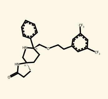 O=C1CC[C@]2(CC[C@@](COCCc3cc(C(F)(F)F)cc(C(F)(F)F)c3)(c3ccccc3)NC2)N1